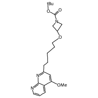 COc1cc(CCCCCOC2CN(C(=O)OC(C)(C)C)C2)nc2ncccc12